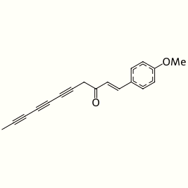 CC#CC#CC#CCC(=O)C=Cc1ccc(OC)cc1